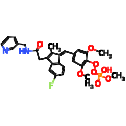 COc1cc(/C=C2/C(C)=C(CC(=O)NCc3cccnc3)c3cc(F)ccc32)cc(OC)c1OOP(=O)(O)OC